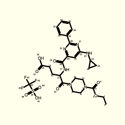 CCOC(=O)N1CCN(C(=O)C(CCC(=O)O)NC(=O)c2cc(NC3CC3)nc(-c3ccccc3)n2)CC1.O=S(=O)(O)C(F)(F)F